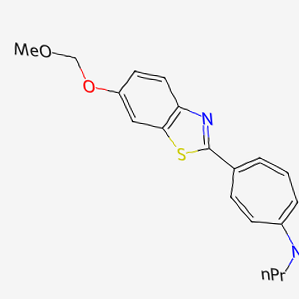 CCCNC1=CC=C=C(c2nc3ccc(OCOC)cc3s2)C=C1